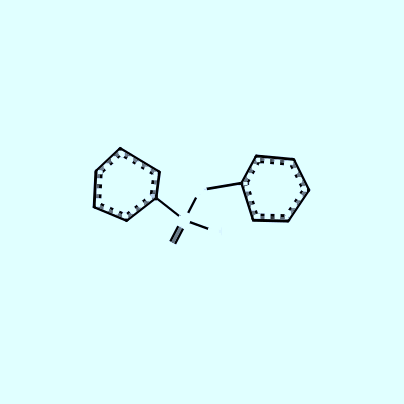 OP(=S)(Oc1ccccc1)c1ccccc1